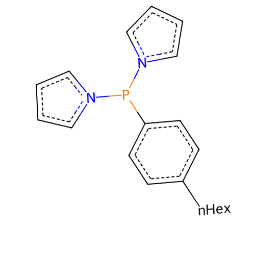 CCCCCCc1ccc(P(n2cccc2)n2cccc2)cc1